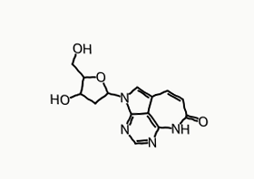 O=C1C=Cc2cn(C3CC(O)C(CO)O3)c3ncnc(c23)N1